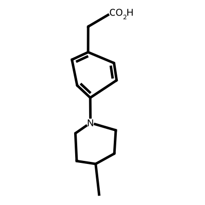 CC1CCN(c2ccc(CC(=O)O)cc2)CC1